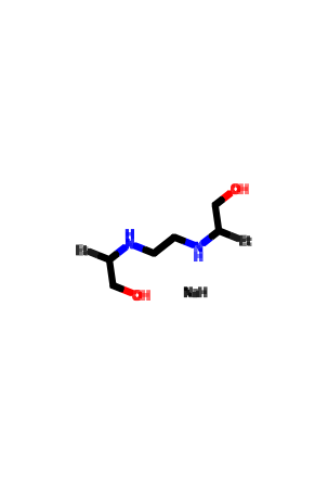 CCC(CO)NCCNC(CC)CO.[NaH]